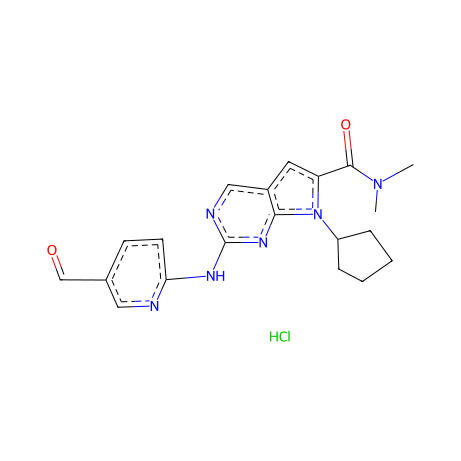 CN(C)C(=O)c1cc2cnc(Nc3ccc(C=O)cn3)nc2n1C1CCCC1.Cl